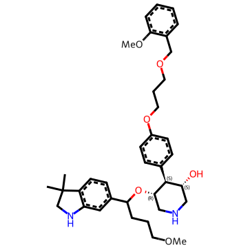 COCCCC(O[C@H]1CNC[C@@H](O)[C@@H]1c1ccc(OCCCOCc2ccccc2OC)cc1)c1ccc2c(c1)NCC2(C)C